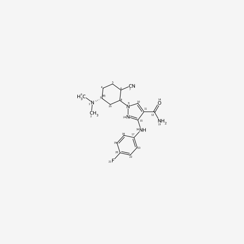 CN(C)[C@@H]1CCC(C#N)C(n2cc(C(N)=O)c(Nc3ccc(F)cc3)n2)C1